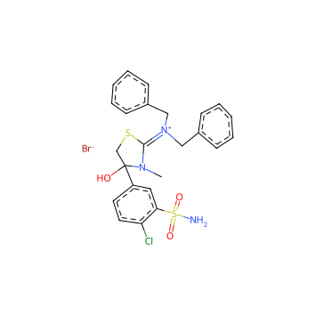 CN1C(=[N+](Cc2ccccc2)Cc2ccccc2)SCC1(O)c1ccc(Cl)c(S(N)(=O)=O)c1.[Br-]